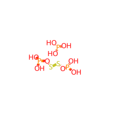 OP(O)O.OP(O)OSSOP(O)O